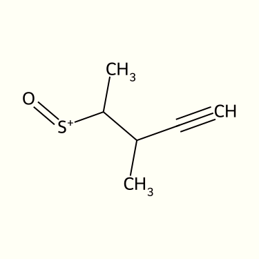 C#CC(C)C(C)[S+]=O